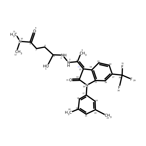 C/C(NNC(O)CCC(=O)N(C)C)=C1/C(=O)N(c2cc(C)cc(C)c2)c2cc(C(F)(F)F)ccc21